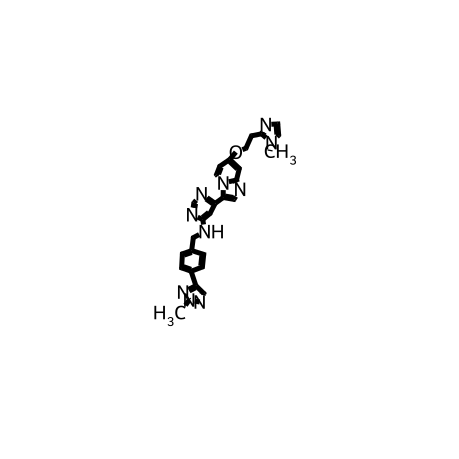 Cn1ncc(-c2ccc(CNc3cc(-c4cnc5cc(OCCc6nccn6C)ccn45)ncn3)cc2)n1